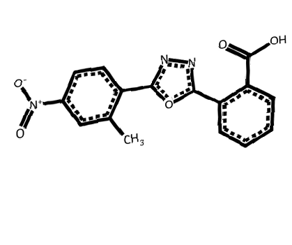 Cc1cc([N+](=O)[O-])ccc1-c1nnc(-c2ccccc2C(=O)O)o1